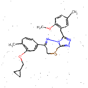 COc1ccc(C)cc1-c1nnc2n1N=C(c1ccc(C)c(OCC3CC3)c1)CS2